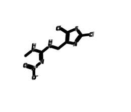 CNC(=N[N+](=O)[O-])NCc1nc(Cl)sc1Cl